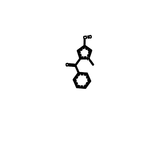 Cn1cc(C=O)cc1C(=O)c1ccccc1